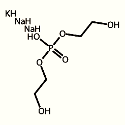 O=P(O)(OCCO)OCCO.[KH].[NaH].[NaH]